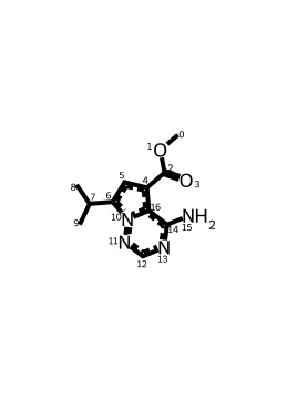 COC(=O)c1cc(C(C)C)n2ncnc(N)c12